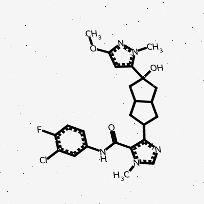 COc1cc(C2(O)CC3CC(c4ncn(C)c4C(=O)Nc4ccc(F)c(Cl)c4)CC3C2)n(C)n1